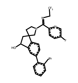 CC(C)c1ccccc1-c1ccc2c(c1)C(O)CC21CCN(C(=NCC(F)(F)F)c2ccc(F)cn2)C1